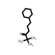 CC(C)(C)C(=O)CCCC1CCCCC1